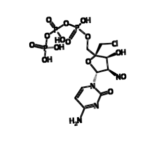 Nc1ccn([C@@H]2O[C@](CCl)(COP(=O)(O)OP(=O)(O)OP(=O)(O)O)[C@@H](O)[C@H]2N=O)c(=O)n1